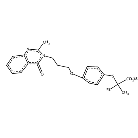 CCOC(=O)C(C)(CC)Sc1ccc(OCCCn2c(C)nc3ccccc3c2=O)cc1